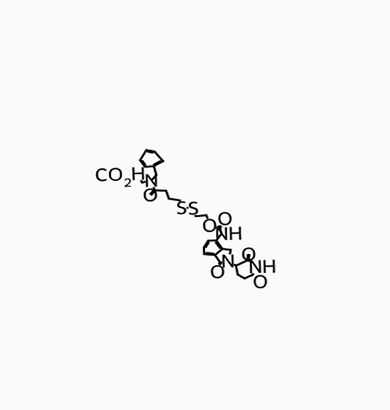 O=C(O)CN(Cc1ccccc1)C(=O)CCCSSCCOC(=O)Nc1cccc2c1CN(C1CCC(=O)NC1=O)C2=O